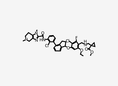 CCOc1cc(OC2CCc3c(-c4cccc(NC(=O)c5nc6c(n5C)CCN(C)C6)c4Cl)cccc32)c(Cl)c(F)c1CNCC1(C(=O)OC)CC1